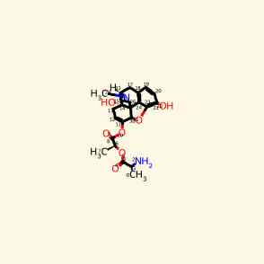 C[C@H](N)C(=O)O[C@@H](C)C(=O)OC1=CC[C@@]2(O)[C@H]3Cc4ccc(O)c5c4C2(CCN3C)C1O5